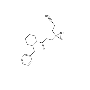 C#CCCC1(CCC(=O)N2CCCCC2Cc2ccccc2)NN1